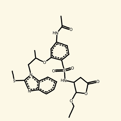 CCOC1OC(=O)CC1NS(=O)(=O)c1ccc(NC(C)=O)cc1OC(C)Cn1c(SC)nc2ccccc21